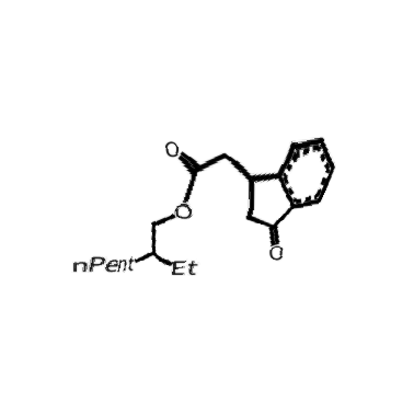 CCCCCC(CC)COC(=O)CC1CC(=O)c2ccccc21